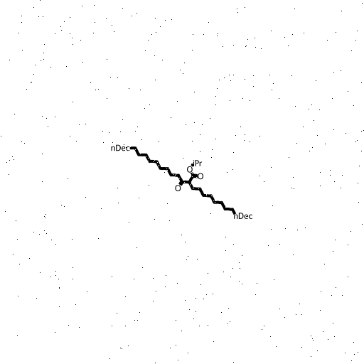 CCCCCCCCCCCCCCCCCCCC(=O)C(CCCCCCCCCCCCCCCCCC)C(=O)OC(C)C